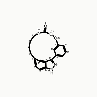 O=C1NCCCCc2ccc3[nH]nc(c3c2)-c2cccc(c2)OO1